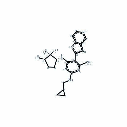 Cc1nc(NCC2CC2)nc(N[C@@H]2CC[C@@H](O)[C@@]2(C)O)c1-c1nc2cnccc2s1